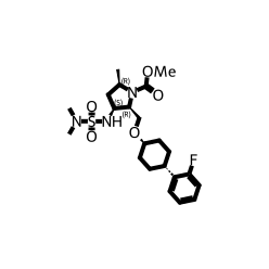 COC(=O)N1[C@H](C)C[C@H](NS(=O)(=O)N(C)C)[C@@H]1CO[C@H]1CC[C@@H](c2ccccc2F)CC1